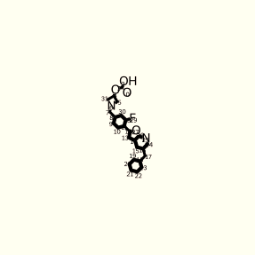 O=C(O)OC1CN(Cc2ccc(-c3cc4cc(Cc5ccccc5)cnc4o3)c(F)c2)C1